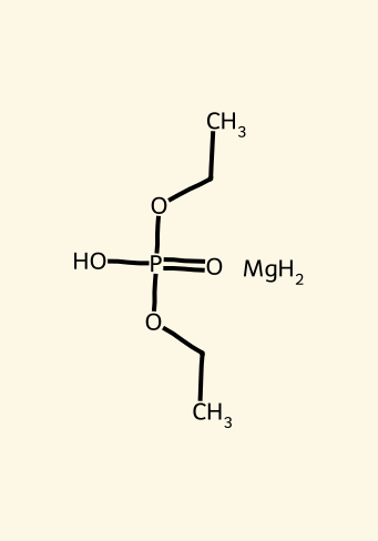 CCOP(=O)(O)OCC.[MgH2]